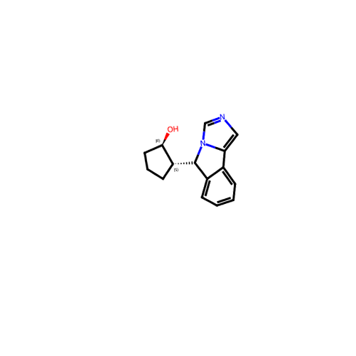 O[C@@H]1CCC[C@H]1C1c2ccccc2-c2cncn21